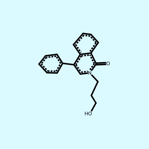 O=c1c2ccccc2c(-c2ccccc2)cn1CCCO